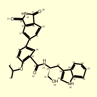 CC(C)Oc1ccc(-c2ccc3c(c2)C(=O)NC3=O)cc1C(=O)N[C@@H](CO)Cc1c[nH]c2ccccc12